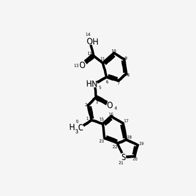 C/C(=C/C(=O)Nc1ccccc1C(=O)O)c1ccc2ccsc2c1